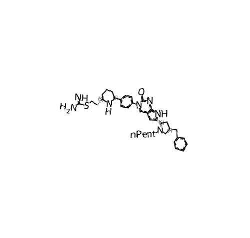 CCCCCN1C[C@H](Cc2ccccc2)C[C@H]1c1cc2cn(-c3ccc([C@@H]4CCC[C@@H](CCSC(=N)N)N4)cc3)c(=O)nc2[nH]1